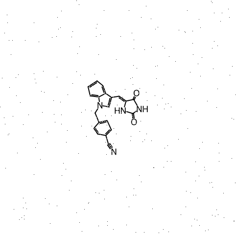 N#Cc1ccc(Cn2cc(/C=C3\NC(=O)NC3=O)c3ccccc32)cc1